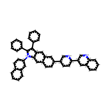 c1ccc(-c2c(-c3ccccc3)n(-c3ccc4ccccc4c3)c3cc4ccc(-c5ccc(-c6cnc7ccccc7c6)nc5)cc4cc23)cc1